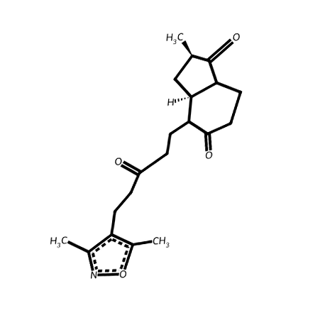 Cc1noc(C)c1CCC(=O)CCC1C(=O)CCC2C(=O)[C@H](C)C[C@H]12